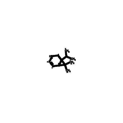 CC(C)C12CNN=NN1C2(C)C